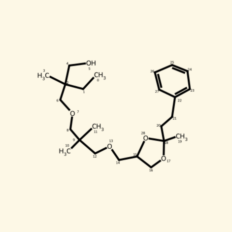 CCC(C)(CO)COCC(C)(C)COCC1COC(C)(CCc2ccccc2)O1